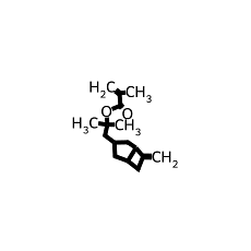 C=C(C)C(=O)OC(C)(C)CC1CC2CC(=C)C2C1